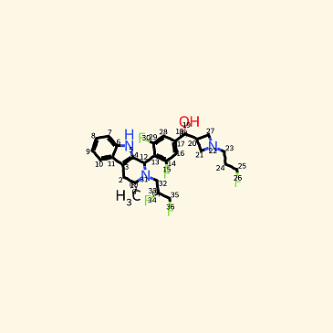 C[C@@H]1Cc2c([nH]c3ccccc23)C(c2c(F)cc([C@H](O)C3CN(CCCF)C3)cc2F)N1C[C@H](F)CF